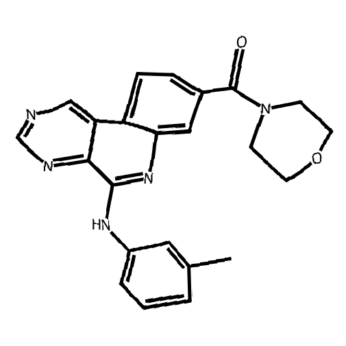 Cc1cccc(Nc2nc3cc(C(=O)N4CCOCC4)ccc3c3cncnc23)c1